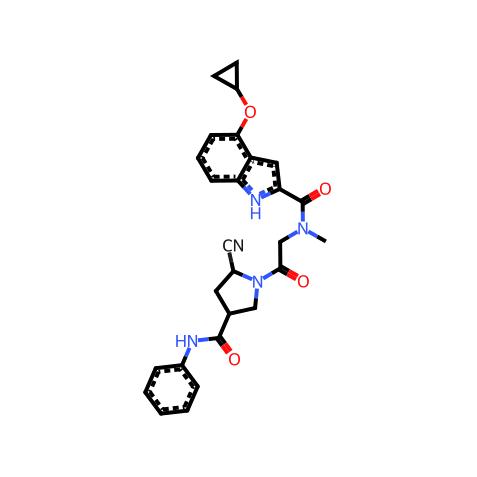 CN(CC(=O)N1CC(C(=O)Nc2ccccc2)CC1C#N)C(=O)c1cc2c(OC3CC3)cccc2[nH]1